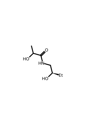 CC[C@@H](O)CNC(=O)C(C)O